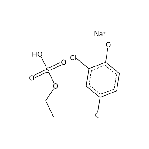 CCOS(=O)(=O)O.[Na+].[O-]c1ccc(Cl)cc1Cl